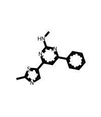 CNc1nc(-c2ccccc2)cc(-c2cnc(C)s2)n1